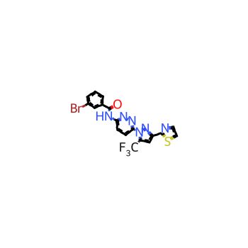 O=C(Nc1ccc(-n2nc(-c3nccs3)cc2C(F)(F)F)nn1)c1cccc(Br)c1